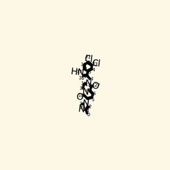 Cc1cn(-c2ccc3n(c2=O)CCN(Cc2c[nH]c4cc(Cl)c(Cl)cc24)C3=O)cn1